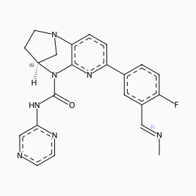 C/N=C/c1cc(-c2ccc3c(n2)N(C(=O)Nc2cnccn2)[C@H]2CCN3C2)ccc1F